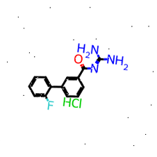 Cl.NC(N)=NC(=O)c1cccc(-c2ccccc2F)c1